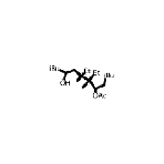 CCC(C)CC(OC(C)=O)C(C)(CC)C(C)(CC)CC(O)C(C)CC